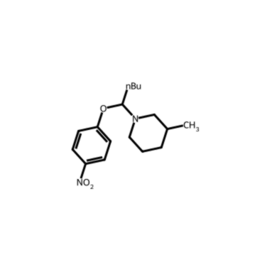 CCCCC(Oc1ccc([N+](=O)[O-])cc1)N1CCCC(C)C1